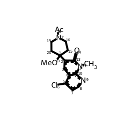 COC1(c2cc3c(Cl)ccnc3n(C)c2=O)CCN(C(C)=O)CC1